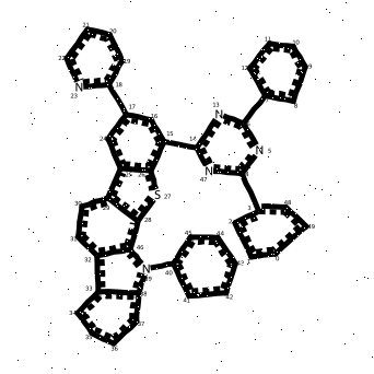 c1ccc(-c2nc(-c3ccccc3)nc(-c3cc(-c4ccccn4)cc4c3sc3c4ccc4c5ccccc5n(-c5ccccc5)c43)n2)cc1